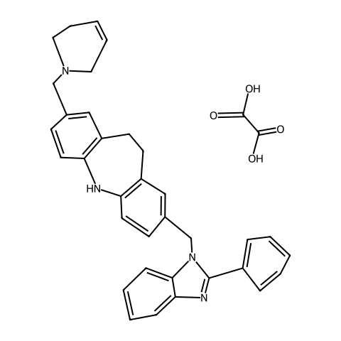 C1=CCN(Cc2ccc3c(c2)CCc2cc(Cn4c(-c5ccccc5)nc5ccccc54)ccc2N3)CC1.O=C(O)C(=O)O